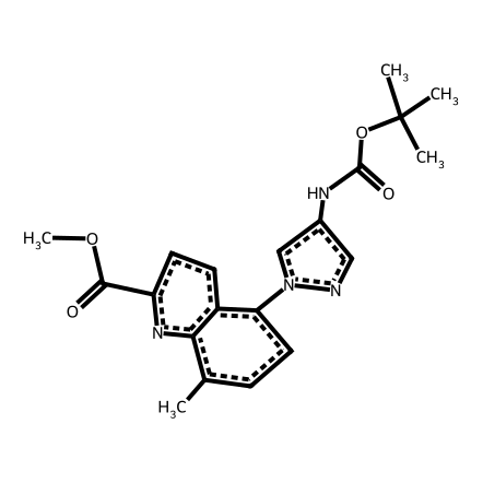 COC(=O)c1ccc2c(-n3cc(NC(=O)OC(C)(C)C)cn3)ccc(C)c2n1